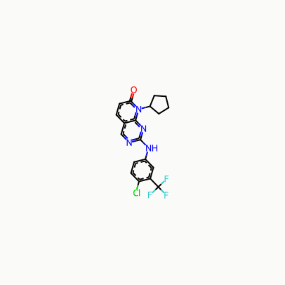 O=c1ccc2cnc(Nc3ccc(Cl)c(C(F)(F)F)c3)nc2n1C1CCCC1